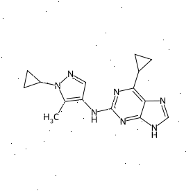 Cc1c(Nc2nc(C3CC3)c3nc[nH]c3n2)cnn1C1CC1